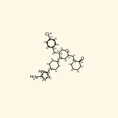 Nc1nnc(N2CCC(N3CC(CN4CCCCC4=O)OC[C@@H]3Cc3ccc(Cl)cc3)CC2)[nH]1